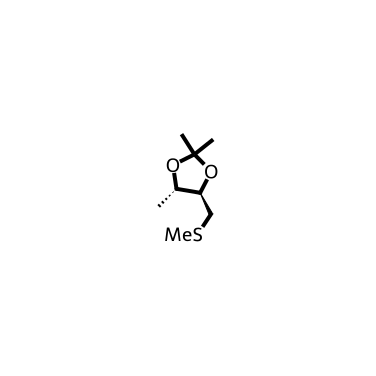 CSC[C@@H]1OC(C)(C)O[C@H]1C